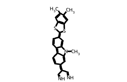 Cc1cc2c(cc1C)SC(=c1ccc3c4ccc(=C(C=N)C=N)cc4n(C)c3c1)S2